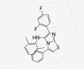 Cc1cccc(C)c1Nc1c(-c2ccc(F)cc2F)nc2scc(-c3ccccc3)n12